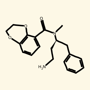 CN(C(=O)c1cccc2c1OCCO2)[C@H](CCN)Cc1ccccc1